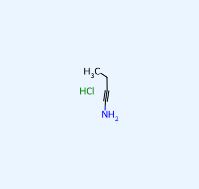 CCC#CN.Cl